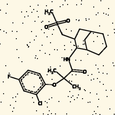 CC(C)(Oc1ccc(F)cc1Cl)C(=O)NC1C2CCCC(C2)CC1CS(C)(=O)=O